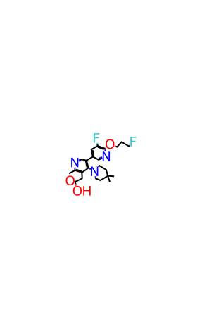 Cc1ncc(-c2cnc(OCCCF)c(F)c2)c(N2CCC(C)(C)CC2)c1CC(=O)O